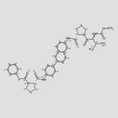 COC(=O)N[C@H](C(=O)N1CCC[C@H]1C(=O)Nc1ccc2cc(-c3ccc(NC(=O)[C@@H]4CCCN4C(=O)Cc4ccccc4)cc3)ccc2c1)C(C)C